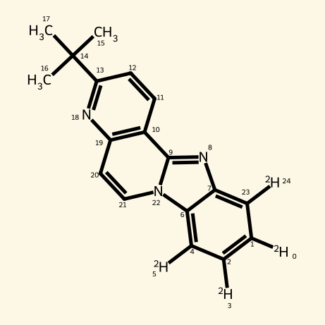 [2H]c1c([2H])c([2H])c2c(nc3c4ccc(C(C)(C)C)nc4ccn32)c1[2H]